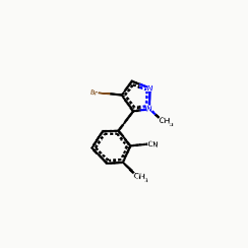 Cc1cccc(-c2c(Br)cnn2C)c1C#N